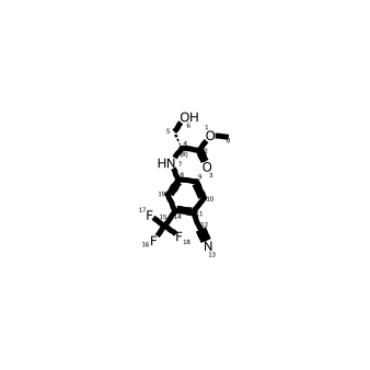 COC(=O)[C@@H](CO)Nc1ccc(C#N)c(C(F)(F)F)c1